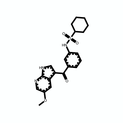 COc1cnc2[nH]cc(C(=O)c3cccc(NS(=O)(=O)C4CCCCC4)c3)c2c1